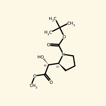 COC(=O)[C@H](O)[C@@H]1CCCN1C(=O)OC(C)(C)C